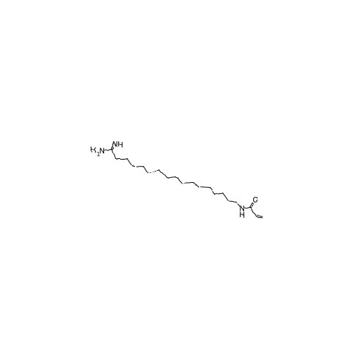 C=CC(=O)NCCCCCCCCCCCCCCCCC(=N)N